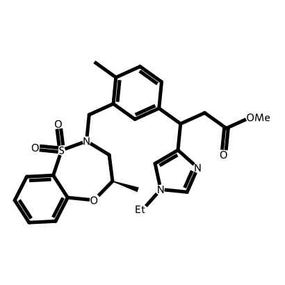 CCn1cnc(C(CC(=O)OC)c2ccc(C)c(CN3C[C@@H](C)Oc4ccccc4S3(=O)=O)c2)c1